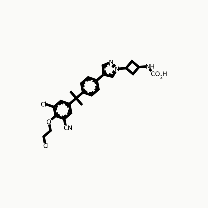 CC(C)(c1ccc(-c2cnn(C3CC(NC(=O)O)C3)c2)cc1)c1cc(Cl)c(OCCCl)c(C#N)c1